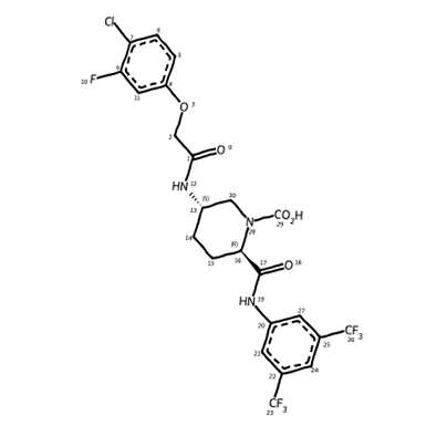 O=C(COc1ccc(Cl)c(F)c1)N[C@H]1CC[C@H](C(=O)Nc2cc(C(F)(F)F)cc(C(F)(F)F)c2)N(C(=O)O)C1